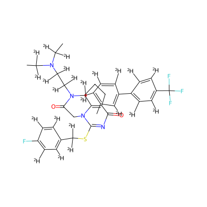 [2H]c1c([2H])c(C([2H])([2H])Sc2nc(=O)c3c(n2CC(=O)N(C([2H])([2H])c2c([2H])c([2H])c(-c4c([2H])c([2H])c(C(F)(F)F)c([2H])c4[2H])c([2H])c2C)C([2H])([2H])C([2H])([2H])N(C([2H])([2H])C)C([2H])([2H])C)CCC3)c([2H])c([2H])c1F